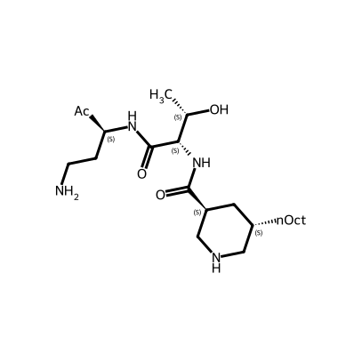 CCCCCCCC[C@@H]1CNC[C@@H](C(=O)N[C@H](C(=O)N[C@@H](CCN)C(C)=O)[C@H](C)O)C1